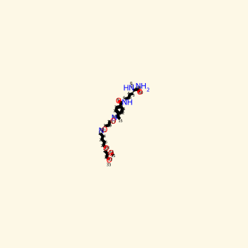 CN[C@@H](CCCCNC(=O)c1ccc(/C(C)=N/OCCCO/N=C\CCCCOCC(COC)OC)cc1)C(N)=O